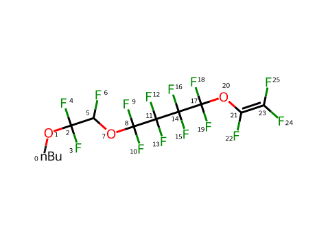 CCCCOC(F)(F)C(F)OC(F)(F)C(F)(F)C(F)(F)C(F)(F)OC(F)=C(F)F